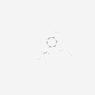 CCOC(=O)C(Cl)N=Nc1ccc(Br)cc1OCC#N